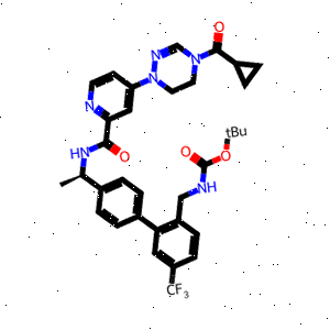 C[C@@H](NC(=O)c1cc(N2CCN(C(=O)C3CC3)C=N2)ccn1)c1ccc(-c2cc(C(F)(F)F)ccc2CNC(=O)OC(C)(C)C)cc1